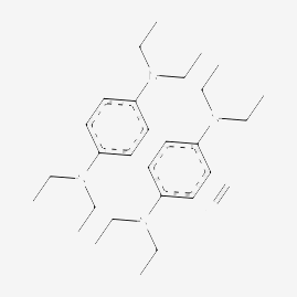 C=O.CCN(CC)c1ccc(N(CC)CC)cc1.CCN(CC)c1ccc(N(CC)CC)cc1